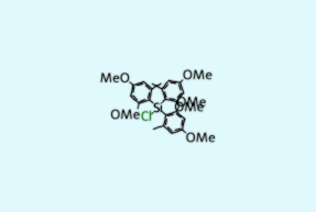 COc1cc(C)c([Si](Cl)(c2c(C)cc(OC)cc2OC)c2c(C)cc(OC)cc2OC)c(OC)c1